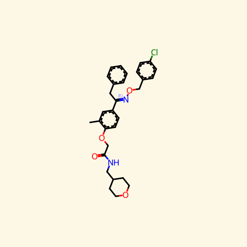 Cc1cc(/C(Cc2ccccc2)=N/OCc2ccc(Cl)cc2)ccc1OCC(=O)NCC1CCOCC1